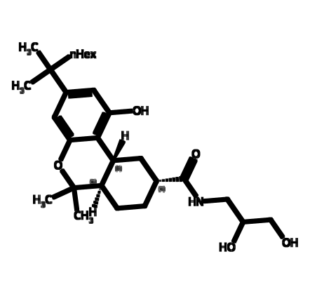 CCCCCCC(C)(C)c1cc(O)c2c(c1)OC(C)(C)[C@@H]1CC[C@@H](C(=O)NCC(O)CO)C[C@@H]21